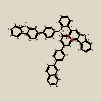 c1cc(-c2ccc(-c3ccc4ccccc4c3)cc2)cc(N(c2ccc(-c3ccc4c(c3)sc3ccccc34)cc2)c2ccccc2-c2ccc3c(c2)sc2ccccc23)c1